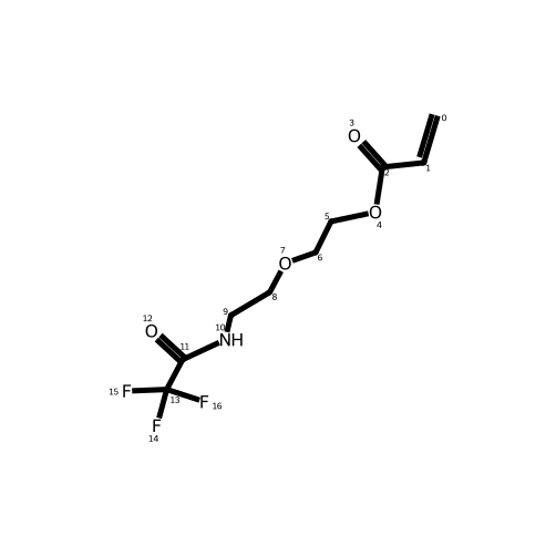 C=CC(=O)OCCOCCNC(=O)C(F)(F)F